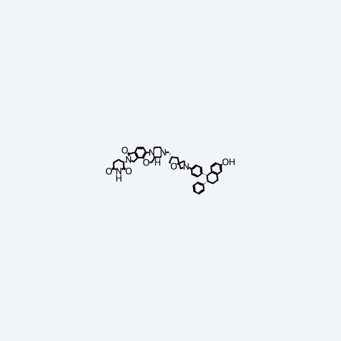 O=C1CC[C@H](N2Cc3c(ccc4c3OC[C@H]3CN(C[C@H]5COC6(C5)CN(c5ccc([C@@H]7c8ccc(O)cc8CC[C@@H]7c7ccccc7)cc5)C6)CCN43)C2=O)C(=O)N1